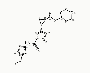 CCn1cc(NC(=O)c2cc([C@@H]3C[C@H]3NCC3CCOCC3)cs2)cn1